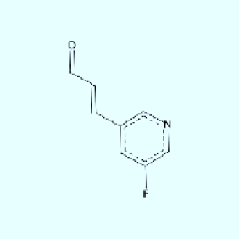 O=CC=Cc1cncc(F)c1